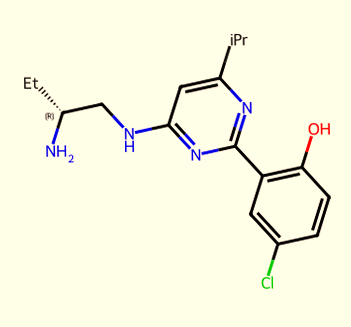 CC[C@@H](N)CNc1cc(C(C)C)nc(-c2cc(Cl)ccc2O)n1